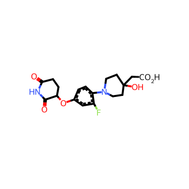 O=C(O)CC1(O)CCN(c2ccc(OC3CCC(=O)NC3=O)cc2F)CC1